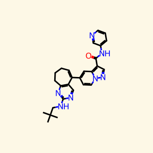 CC(C)(C)CNc1ncc2c(n1)CCCC=C2c1ccn2ncc(C(=O)Nc3cccnc3)c2c1